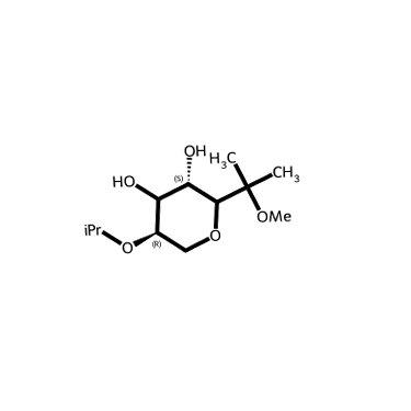 COC(C)(C)C1OC[C@@H](OC(C)C)C(O)[C@@H]1O